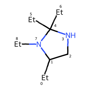 CCC1CNC(CC)(CC)N1CC